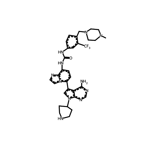 CN1CCN(Cc2ccc(NC(=O)Nc3ccc(-c4cn(C5CCNCC5)c5ncnc(N)c45)n4ccnc34)cc2C(F)(F)F)CC1